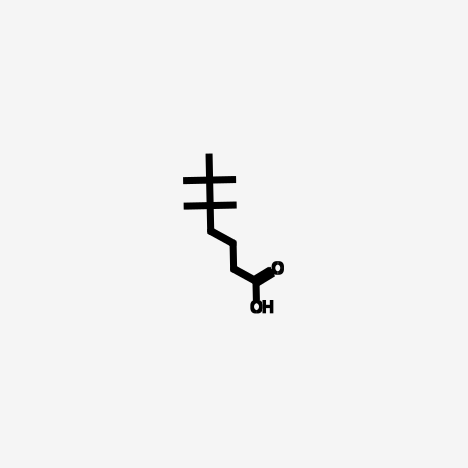 CC(C)(C)C(C)(C)CCCC(=O)O